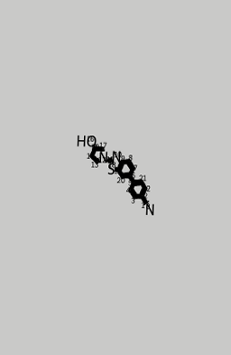 N#Cc1ccc(-c2ccc3nc(N4CC[C@@H](O)C4)sc3c2)cc1